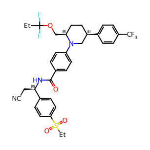 CCC(F)(F)OC[C@H]1CC[C@@H](c2ccc(C(F)(F)F)cc2)CN1c1ccc(C(=O)N[C@H](CC#N)c2ccc(S(=O)(=O)CC)cc2)cc1